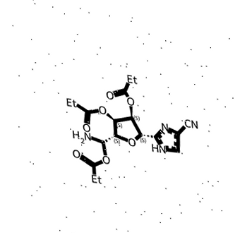 CCC(=O)OC(N)[C@H]1O[C@@H](c2nc(C#N)c[nH]2)[C@H](OC(=O)CC)[C@@H]1OC(=O)CC